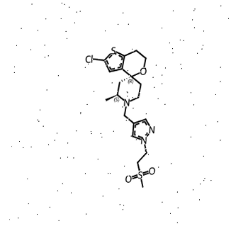 C[C@H]1C[C@@]2(CCN1Cc1cnn(CCS(C)(=O)=O)c1)OCCc1sc(Cl)cc12